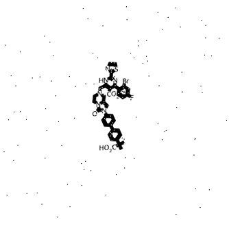 CCOC(=O)C1=C(CN2CCN3C(=O)N(c4ccc(-c5ccc(C(C)(C)C(=O)O)cc5)cc4)CC3C2)NC(c2nccs2)=NC1c1ccc(F)cc1Br